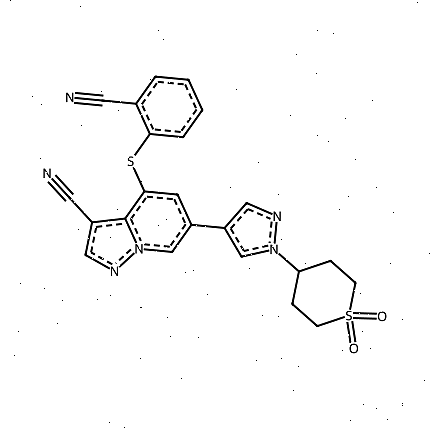 N#Cc1ccccc1Sc1cc(-c2cnn(C3CCS(=O)(=O)CC3)c2)cn2ncc(C#N)c12